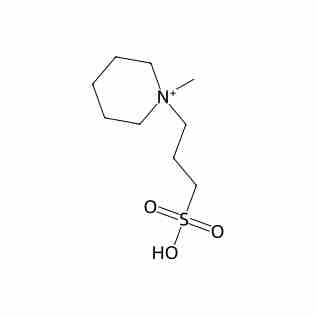 C[N+]1(CCCS(=O)(=O)O)CCCCC1